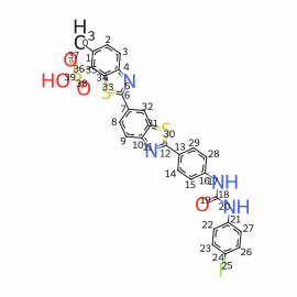 Cc1ccc2nc(-c3ccc4nc(-c5ccc(NC(=O)Nc6ccc(F)cc6)cc5)sc4c3)sc2c1S(=O)(=O)O